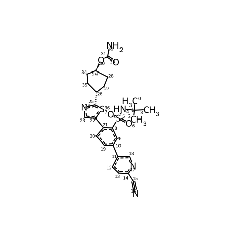 CC(C)(C)NS(=O)(=O)c1cc(-c2ccc(C#N)nc2)ccc1-c1cnc([C@H]2CC[C@H](OC(N)=O)CC2)s1